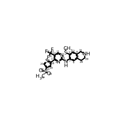 CSc1cc2c(cc1Nc1ncc(C(F)(F)F)c(-c3cc(S(C)(=O)=O)cs3)n1)CCNC2